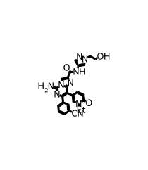 CCn1cc(-c2c(-c3cccc(C#N)c3)nc(N)n3cc(C(=O)Nc4cnn(CCO)c4)nc23)ccc1=O